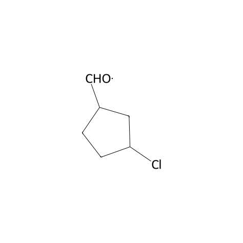 O=[C]C1CCC(Cl)C1